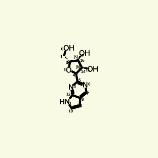 OC[C@H]1OC(c2ncc3cc[nH]c3n2)[C@H](O)[C@@H]1O